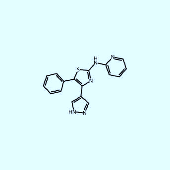 c1ccc(-c2sc(Nc3ccccn3)nc2-c2cn[nH]c2)cc1